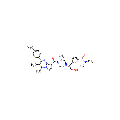 COc1ccc(-c2nc3c(C(=O)N4CCN([C@H](CO)c5ccc(C(=O)N(C)C)s5)C[C@H]4C)cnn3c(C(F)(F)F)c2C)cc1